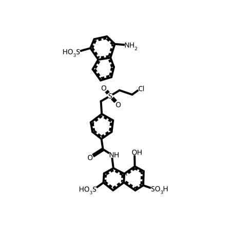 Nc1ccc(S(=O)(=O)O)c2ccccc12.O=C(Nc1cc(S(=O)(=O)O)cc2cc(S(=O)(=O)O)cc(O)c12)c1ccc(CS(=O)(=O)CCCl)cc1